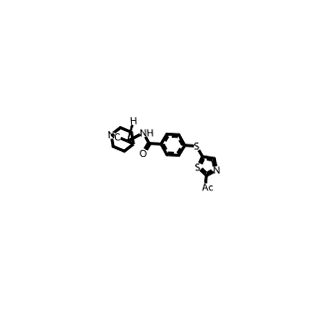 CC(=O)c1ncc(Sc2ccc(C(=O)N[C@H]3CN4CCC3CC4)cc2)s1